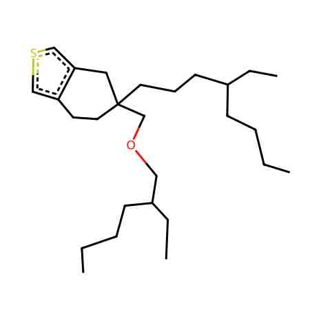 CCCCC(CC)CCCC1(COCC(CC)CCCC)CCc2cscc2C1